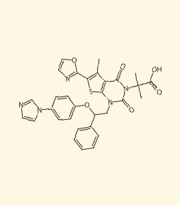 Cc1c(-c2ncco2)sc2c1c(=O)n(C(C)(C)C(=O)O)c(=O)n2CC(Oc1ccc(-n2ccnc2)cc1)c1ccccc1